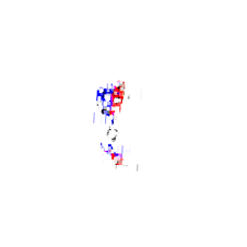 CC(C)(C)OC(=O)NC(=N)c1ccc(CNC(=O)[C@@H]2CCc3ncc(NS(C)(=O)=O)c(=O)n32)cc1